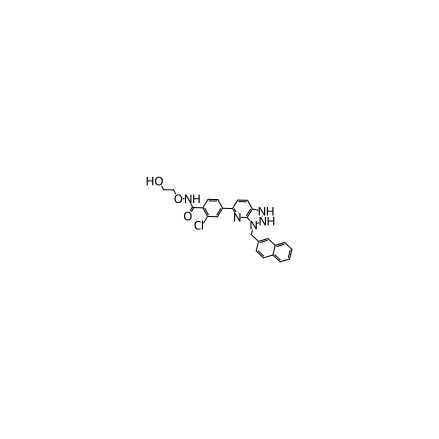 O=C(NOCCO)c1ccc(-c2ccc3c(n2)N(Cc2ccc4ccccc4c2)NN3)cc1Cl